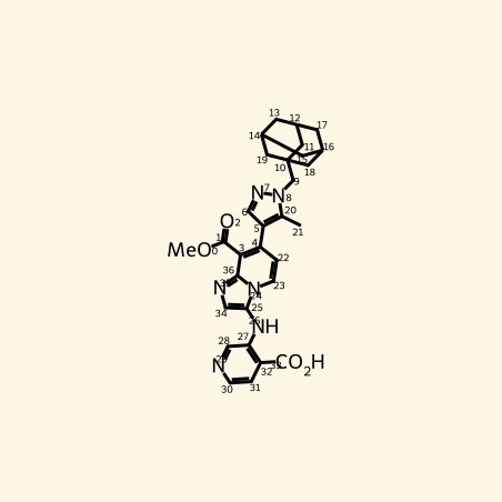 COC(=O)c1c(-c2cnn(CC34CC5CC(CC(C5)C3)C4)c2C)ccn2c(Nc3cnccc3C(=O)O)cnc12